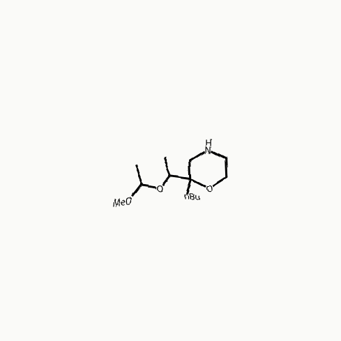 CCCCC1(C(C)OC(C)OC)CNCCO1